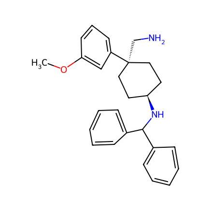 COc1cccc([C@]2(CN)CC[C@H](NC(c3ccccc3)c3ccccc3)CC2)c1